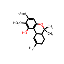 CCCCCc1cc2c(c(O)c1C(=O)O)C1C=C(C)CCC1C(C)(C)O2